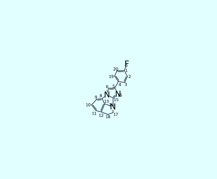 Fc1ccc(-c2cn3c4cccc5c4n(c3n2)CC5)cc1